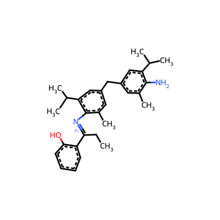 CC/C(=N\c1c(C)cc(Cc2cc(C)c(N)c(C(C)C)c2)cc1C(C)C)c1ccccc1O